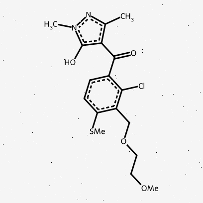 COCCOCc1c(SC)ccc(C(=O)c2c(C)nn(C)c2O)c1Cl